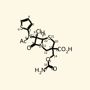 CC(=O)N(c1cccs1)C1(Cl)C(=O)N2CC(COC(N)=O)(C(=O)O)CS[C@@H]21